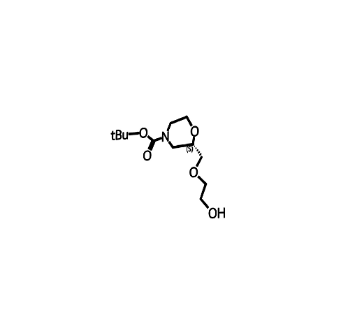 CC(C)(C)OC(=O)N1CCO[C@H](COCCO)C1